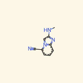 CNc1cn2c(C#N)cccc2n1